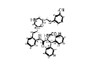 N#Cc1cccc(SC[C@@H]2CNC[C@@H](CCc3ccccc3NC(=O)[C@@H](NC(=O)O)C(c3ccccc3)c3ccccc3)O2)c1